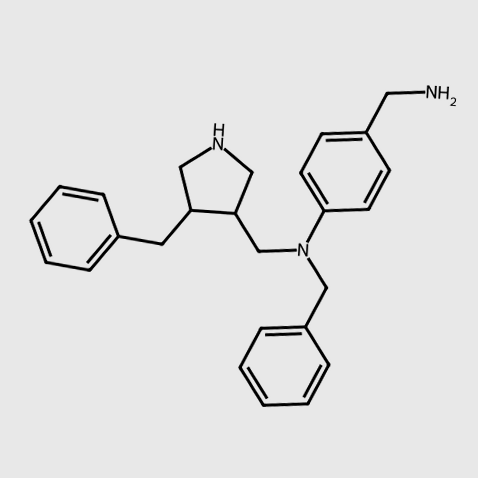 NCc1ccc(N(Cc2ccccc2)CC2CNCC2Cc2ccccc2)cc1